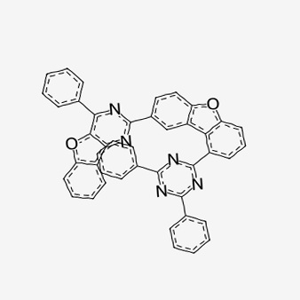 c1ccc(-c2nc(-c3ccccc3)nc(-c3cccc4oc5ccc(-c6nc(-c7ccccc7)c7oc8ccccc8c7n6)cc5c34)n2)cc1